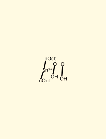 CCCCCCC[CH2][Sn+2][CH2]CCCCCCC.[O-]O.[O-]O